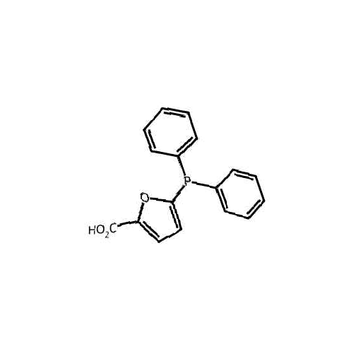 O=C(O)c1ccc(P(c2ccccc2)c2ccccc2)o1